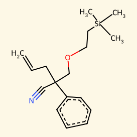 C=CCC(C#N)(COCC[Si](C)(C)C)c1ccccc1